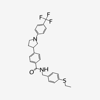 CCSc1ccc(CNC(=O)c2ccc(C3CCN(c4ccc(C(F)(F)F)cc4)C3)cc2)cc1